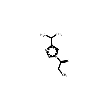 CCC(=O)n1cc(C(C)C)nn1